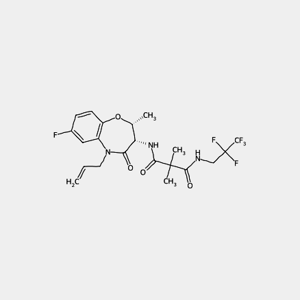 C=CCN1C(=O)[C@@H](NC(=O)C(C)(C)C(=O)NCC(F)(F)C(F)(F)F)[C@@H](C)Oc2ccc(F)cc21